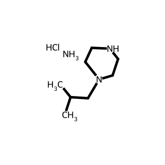 CC(C)CN1CCNCC1.Cl.N